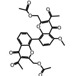 COc1ccc(-c2cccc3c(=O)c(C(C)=O)c(COC(C)=O)oc23)c2oc(COC(C)=O)c(C(C)=O)c(=O)c12